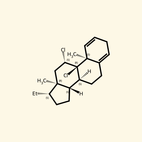 CC[C@H]1CC[C@H]2[C@@H]3CCC4=CCC=C[C@]4(C)[C@@]3(Cl)[C@@H](Cl)C[C@]12C